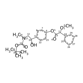 COC(C(=O)Oc1ccc(C(O)CN(C)C(=O)OC(C)(C)C)cc1)c1ccccc1